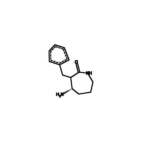 N[C@H]1CCCNC(=O)C1Cc1ccccc1